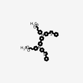 COC(=O)CCc1ccc(N(c2ccc(-c3ccc(N(c4ccc(CCC(=O)OC)cc4)c4ccc(-c5ccc(-c6ccccc6)s5)cc4)cc3)cc2)c2ccc(-c3ccc(-c4ccccc4)s3)cc2)cc1